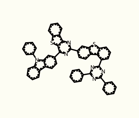 c1ccc(-c2nc(-c3ccccc3)nc(-c3cccc4sc5cc(-c6nc(-c7ccc8c9ccccc9n(-c9ccccc9)c8c7)c7sc8ccccc8c7n6)ccc5c34)n2)cc1